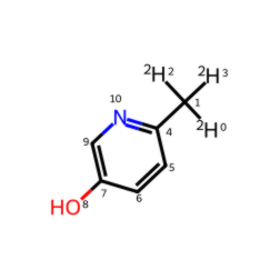 [2H]C([2H])([2H])c1ccc(O)cn1